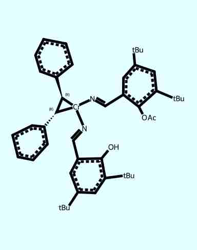 CC(=O)Oc1c(C=[N][Cr]2([N]=Cc3cc(C(C)(C)C)cc(C(C)(C)C)c3O)[C@H](c3ccccc3)[C@H]2c2ccccc2)cc(C(C)(C)C)cc1C(C)(C)C